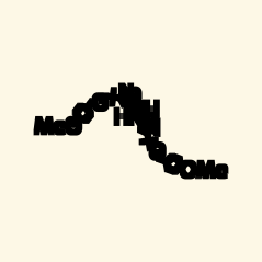 COc1ccc(COCC(C)(C)c2cc(NNc3cc(C(C)(C)COCc4ccc(OC)cc4)no3)on2)cc1